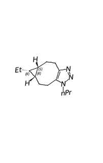 CCCn1nnc2c1CC[C@@H]1[C@H](CC)[C@@H]1CC2